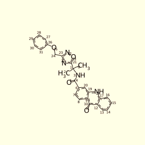 CC(C)(NC(=O)c1ccc2c(=O)c3ccccc3[nH]c2c1)c1nc(COc2ccccc2)no1